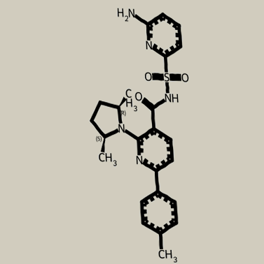 Cc1ccc(-c2ccc(C(=O)NS(=O)(=O)c3cccc(N)n3)c(N3[C@H](C)CC[C@@H]3C)n2)cc1